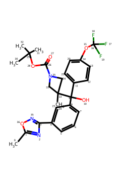 Cc1nc(-c2cccc(C(O)(c3ccc(OC(F)(F)F)cc3)C3(C)CN(C(=O)OC(C)(C)C)C3)c2)no1